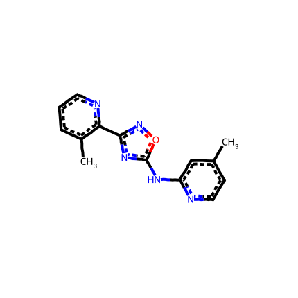 Cc1ccnc(Nc2nc(-c3ncccc3C)no2)c1